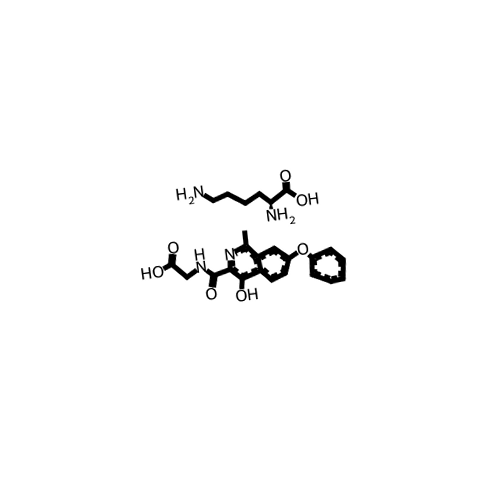 Cc1nc(C(=O)NCC(=O)O)c(O)c2ccc(Oc3ccccc3)cc12.NCCCC[C@H](N)C(=O)O